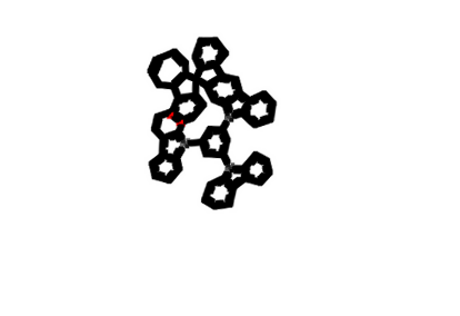 C1#CCC2=C(C=C1)C1(c3ccccc32)c2ccccc2-c2cc3c4ccccc4n(-c4cc(-n5c6c(c7ccccc75)C=CCC6)cc(-n5c6ccccc6c6ccccc65)c4)c3cc21